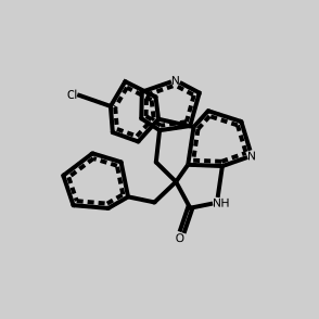 O=C1Nc2nccc(-c3ccc(Cl)cc3)c2C1(Cc1ccccc1)Cc1ccncc1